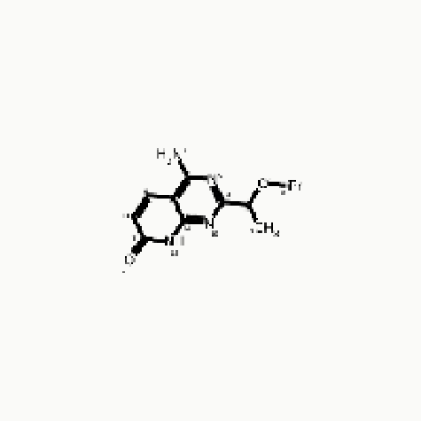 CC(C)OC(C)c1nc(N)c2ccc(=O)[nH]c2n1